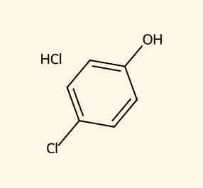 Cl.Oc1ccc(Cl)cc1